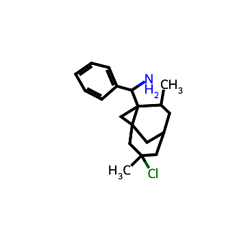 CC1CC2CC(C)(Cl)CC3(C2)CC13C(N)c1ccccc1